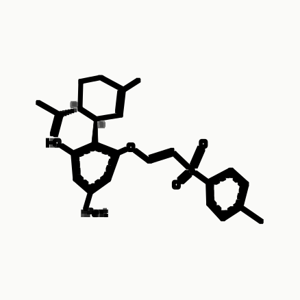 C=C(C)[C@@H]1CCC(C)=C[C@H]1c1c(O)cc(CCCCC)cc1OC=CS(=O)(=O)c1ccc(C)cc1